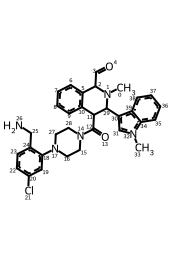 CN1C(C=O)c2ccccc2C(C(=O)N2CCN(c3cc(Cl)ccc3CN)CC2)C1c1cn(C)c2ccccc12